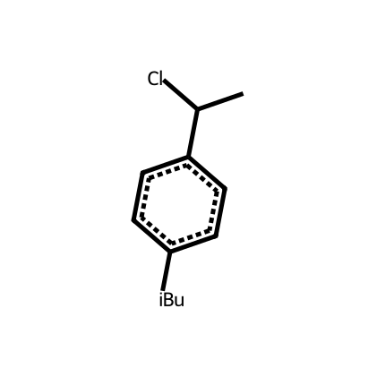 CCC(C)c1ccc(C(C)Cl)cc1